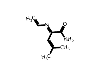 C=C/N=C(\C=C(C)C)C(N)=O